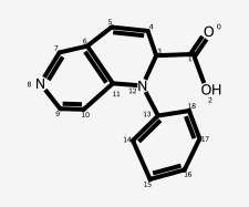 O=C(O)C1C=Cc2cnccc2N1c1ccccc1